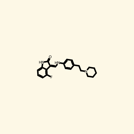 O=C1Nc2cccc(F)c2/C1=C/Nc1ccc(CCN2CCCCC2)cc1